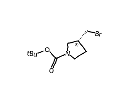 CC(C)(C)OC(=O)N1CC[C@@H](CBr)C1